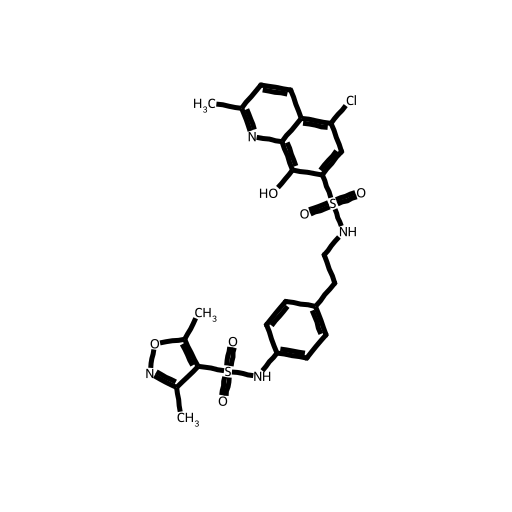 Cc1ccc2c(Cl)cc(S(=O)(=O)NCCc3ccc(NS(=O)(=O)c4c(C)noc4C)cc3)c(O)c2n1